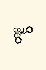 O=C(O)C1Cc2ccccc2N1CCc1ccccc1